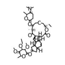 CCOC1C(OC)[C@H](O[C@H]2C[C@H]3[C@@H]4C=C5C(=O)[C@H](C)[C@@H](O[C@H]6CC[C@H](N(C)C)C(C)O6)CCC[C@H](CC)OC(=O)C[C@H]5[C@@H]4C=C[C@@H]3C2)OC(C)[C@@H]1OC